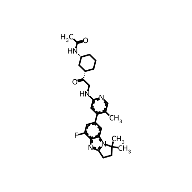 CC(=O)N[C@@H]1CCC[C@H](C(=O)CNc2cc(-c3cc(F)c4nc5n(c4c3)C(C)(C)CC5)c(C)cn2)C1